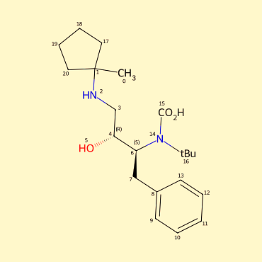 CC1(NC[C@@H](O)[C@H](Cc2ccccc2)N(C(=O)O)C(C)(C)C)CCCC1